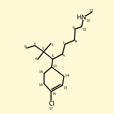 CCC(C)(C)C(CCCCCNC)C1CC=C(Cl)CC1